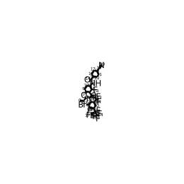 C=CC(=O)N(C(=O)c1cccc(NC(=O)c2ccc(C#N)cc2)c1F)c1c(Br)cc(C(F)(C(F)(F)F)C(F)(F)F)cc1C(F)(F)F